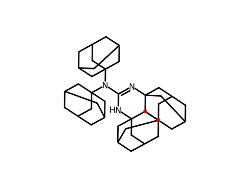 C1C2CC3CC1CC(N=C(NC14CC5CC(CC(C5)C1)C4)N(C14CC5CC(CC(C5)C1)C4)C14CC5CC(CC(C5)C1)C4)(C2)C3